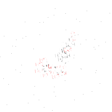 C[C@@H]1OC(O[C@H]2CC[C@@]3(C)[C@H](CC[C@@H]4[C@@H]3CC[C@]3(C)[C@@H](C5=CC(=O)OC5)CC[C@]43O)C2)[C@@H](O)[C@H](O)C1O[C@@H]1O[C@H](CO)[C@@H](O)[C@H](O)[C@H]1O